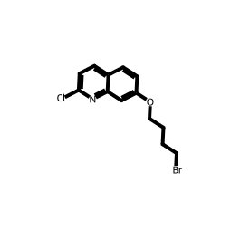 Clc1ccc2ccc(OCCCCBr)cc2n1